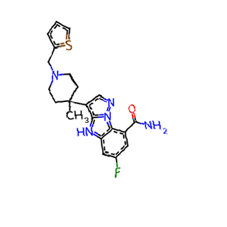 CC1(c2cnn3c2[nH]c2cc(F)cc(C(N)=O)c23)CCN(Cc2cccs2)CC1